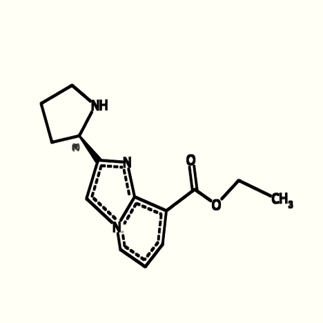 CCOC(=O)c1cccn2cc([C@H]3CCCN3)nc12